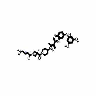 COc1cc(Nc2ccc3ncc(-c4cnn(C5CCN(C(=O)C6(F)CN(C(=O)/C=C/CN(C)C)C6)CC5)c4C)nc3c2)cc(OC)c1